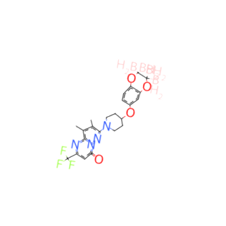 BC1(B)Oc2ccc(OC3CCN(c4nn5c(=O)cc(C(F)(F)F)nc5c(C)c4C)CC3)cc2OC1(B)B